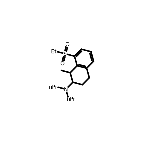 CCCN(CCC)C1CCc2cccc(S(=O)(=O)CC)c2C1C